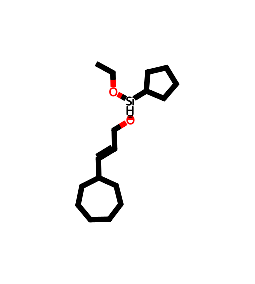 CCO[SiH](OCC=CC1CCCCCC1)C1CCCC1